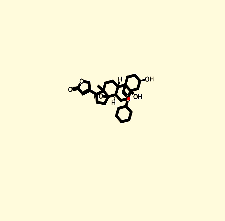 CC12CC[C@H]3[C@@H](CCC4(O)C[C@H](O)CCC34/C=N/C3CCCCC3)C1(O)CCC2C1=CC(=O)OC1